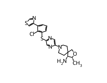 C[C@@H]1OCC2(CCN(c3cnc(Sc4cccc(-c5cscn5)c4Cl)cn3)CC2)[C@@H]1N